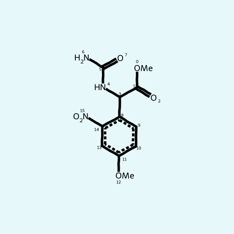 COC(=O)C(NC(N)=O)c1ccc(OC)cc1[N+](=O)[O-]